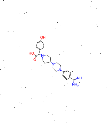 N=C(N)c1ccc(N2CCN(C3CCN(C(C(=O)O)c4ccc(O)cc4)CC3)CC2)cc1